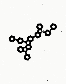 c1ccc(-c2ccc(C3c4ccc(-c5ccc6c(c5)c5ccccc5n6-c5cccc(-c6ccccc6)c5)cc4-c4ccc5c(c43)-c3ccccc3C5c3ccccc3)cc2)cc1